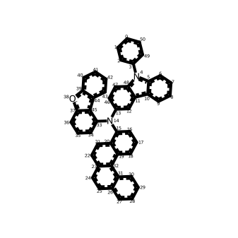 c1ccc(-n2c3ccccc3c3cc(N(c4cccc5c4ccc4ccc6ccccc6c45)c4cccc5oc6ccccc6c45)ccc32)cc1